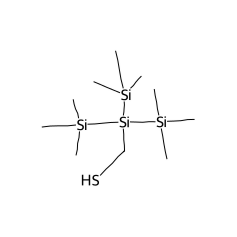 C[Si](C)(C)[Si](CS)([Si](C)(C)C)[Si](C)(C)C